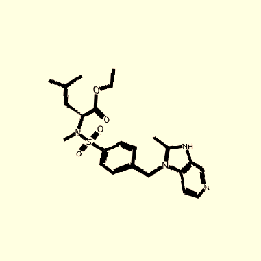 CCOC(=O)[C@H](CC(C)C)N(C)S(=O)(=O)c1ccc(CN2c3ccncc3NC2C)cc1